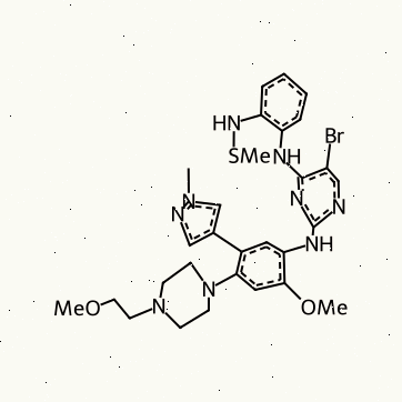 COCCN1CCN(c2cc(OC)c(Nc3ncc(Br)c(Nc4ccccc4NSC)n3)cc2-c2cnn(C)c2)CC1